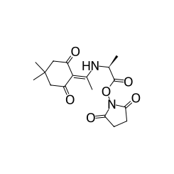 CC(N[C@@H](C)C(=O)ON1C(=O)CCC1=O)=C1C(=O)CC(C)(C)CC1=O